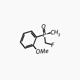 COc1ccccc1[P@](C)(=O)CF